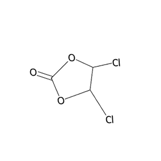 O=C1OC(Cl)C(Cl)O1